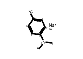 CN(C)c1ccc([S-])cc1.[Na+]